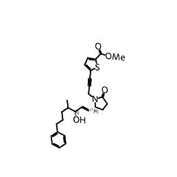 COC(=O)c1ccc(C#CCN2C(=O)CC[C@@H]2C=C[C@H](O)C(C)CCCc2ccccc2)s1